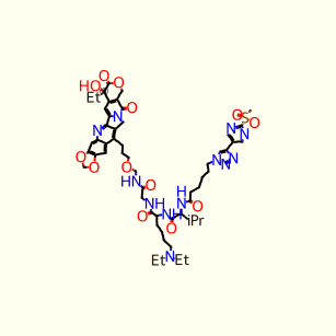 CCN(CC)CCCCC(NC(=O)C(NC(=O)CCCCCn1cc(-c2cnc(S(C)(=O)=O)nc2)nn1)C(C)C)C(=O)NCC(=O)NCOCCCc1c2c(nc3cc4c(cc13)OCO4)-c1cc3c(c(=O)n1C2)COC(=O)[C@]3(O)CC